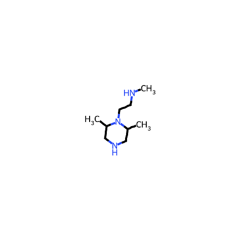 CNCCN1C(C)CNCC1C